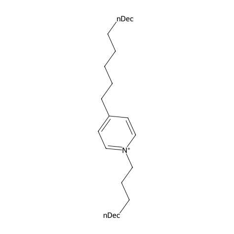 CCCCCCCCCCCCCCCc1cc[n+](CCCCCCCCCCCCC)cc1